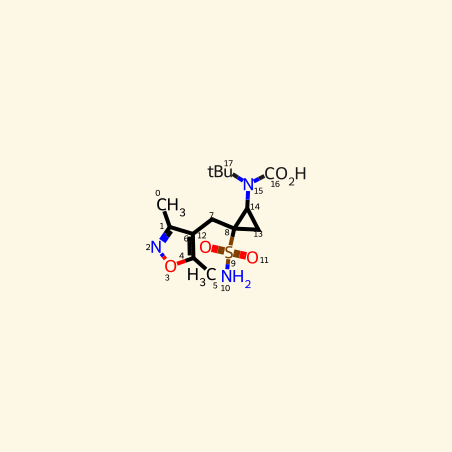 Cc1noc(C)c1CC1(S(N)(=O)=O)CC1N(C(=O)O)C(C)(C)C